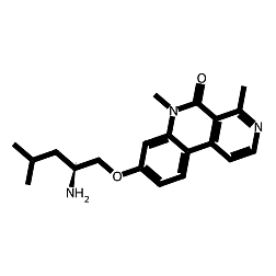 Cc1nccc2c1c(=O)n(C)c1cc(OC[C@@H](N)CC(C)C)ccc21